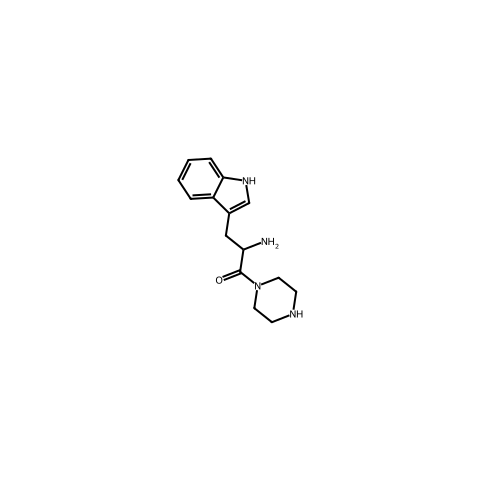 NC(Cc1c[nH]c2ccccc12)C(=O)N1CCNCC1